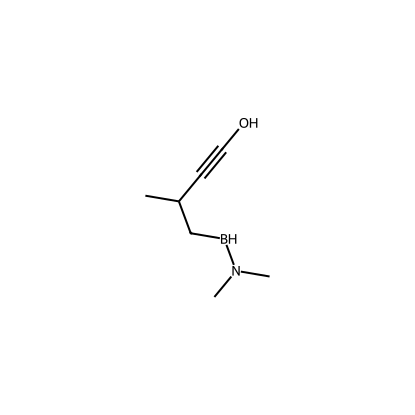 CC(C#CO)CBN(C)C